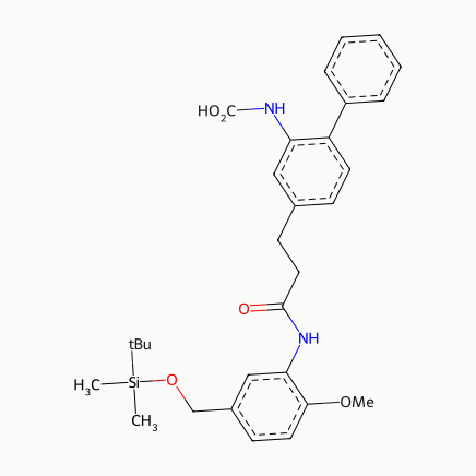 COc1ccc(CO[Si](C)(C)C(C)(C)C)cc1NC(=O)CCc1ccc(-c2ccccc2)c(NC(=O)O)c1